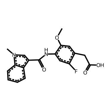 COc1cc(CC(=O)O)c(F)cc1NC(=O)c1cn(C)c2ccccc12